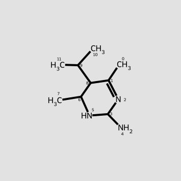 CC1=NC(N)NC(C)C1C(C)C